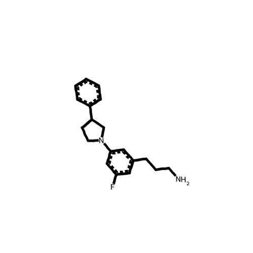 NCCCc1cc(F)cc(N2CCC(c3ccccc3)C2)c1